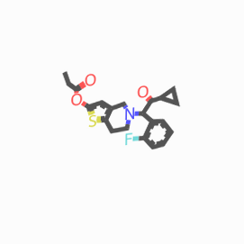 CCC(=O)Oc1cc2c(s1)CCN(C(C(=O)C1CC1)c1ccccc1F)C2